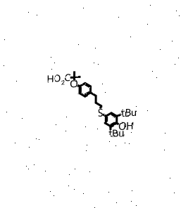 CC(C)(Oc1ccc(CCCSc2cc(C(C)(C)C)c(O)c(C(C)(C)C)c2)cc1)C(=O)O